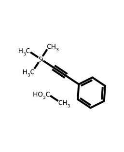 CC(=O)O.C[Si](C)(C)C#Cc1ccccc1